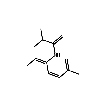 C=C(C)/C=C\C(=C/C)NC(=C)C(C)C